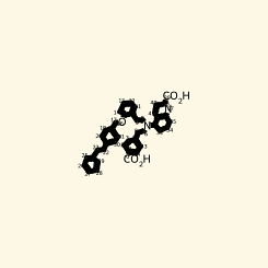 O=C(O)c1ccc(CCN(CCc2ccccc2OCc2ccc(CCc3ccccc3)cc2)C2CCCc3nc(C(=O)O)ccc32)cc1